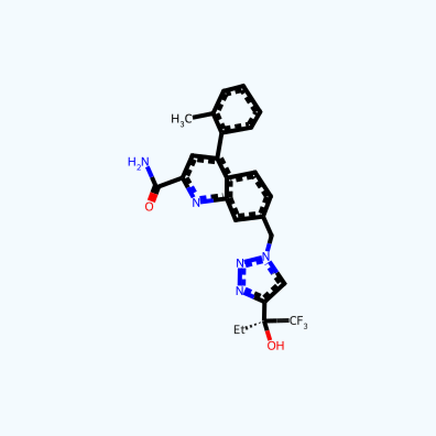 CC[C@](O)(c1cn(Cc2ccc3c(-c4ccccc4C)cc(C(N)=O)nc3c2)nn1)C(F)(F)F